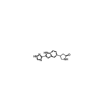 O=C1CC(c2ccc3[nH]c(-c4nc[nH]n4)cc3c2)CN1